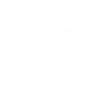 [CH2]C1CC=Cc2c1ccc1ccccc21